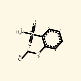 NS(=O)(=O)c1ccccc1OCCl